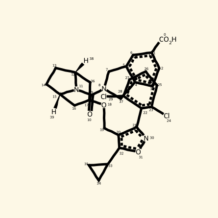 O=C(O)c1ccc2c(c1)CN(C(=O)N1[C@@H]3CC[C@H]1CC(OCc1c(-c4c(Cl)cccc4Cl)noc1C1CC1)C3)C2